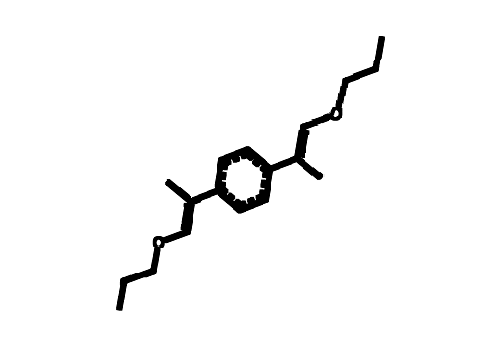 CCCOC=C(C)c1ccc(C(C)=COCCC)cc1